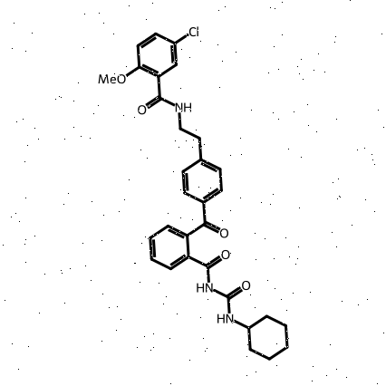 COc1ccc(Cl)cc1C(=O)NCCc1ccc(C(=O)c2ccccc2C(=O)NC(=O)NC2CCCCC2)cc1